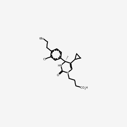 CC(C)(C)CCc1ccc([C@]2(C)NC(=O)N(CCCC(=O)O)C=C2C2CC2)cc1Cl